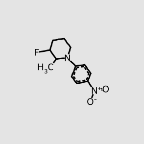 CC1C(F)CCCN1c1ccc([N+](=O)[O-])cc1